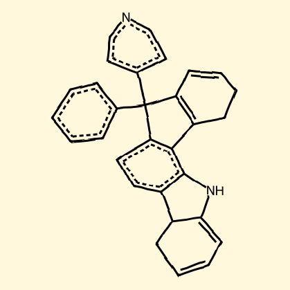 C1=CCC2C(=C1)Nc1c2ccc2c1C1=C(C=CCC1)C2(c1ccccc1)c1ccncc1